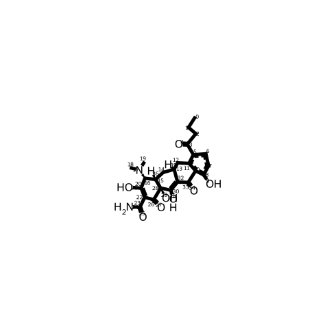 CCCC(=O)c1ccc(O)c2c1C[C@H]1C[C@H]3[C@H](N(C)C)C(O)=C(C(N)=O)C(=O)[C@@]3(O)C(O)=C1C2=O